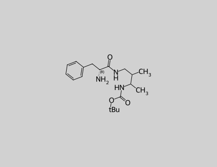 CC(CNC(=O)[C@H](N)Cc1ccccc1)C(C)NC(=O)OC(C)(C)C